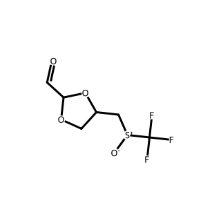 O=CC1OCC(C[S+]([O-])C(F)(F)F)O1